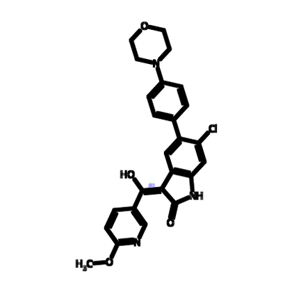 COc1ccc(/C(O)=C2\C(=O)Nc3cc(Cl)c(-c4ccc(N5CCOCC5)cc4)cc32)cn1